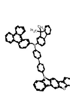 CC1(C)c2ccccc2-c2ccc(N(c3ccc(-c4ccc(-n5c6ccccc6c6cc7oc8ccccc8c7cc65)cc4)cc3)c3ccc4c5ccccc5c5ccccc5c4c3)cc21